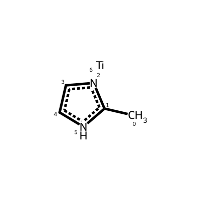 Cc1ncc[nH]1.[Ti]